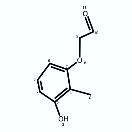 Cc1c(O)cccc1OCC=O